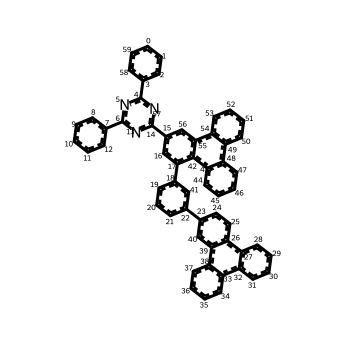 c1ccc(-c2nc(-c3ccccc3)nc(-c3cc(-c4cccc(-c5ccc6c7ccccc7c7ccccc7c6c5)c4)c4c5ccccc5c5ccccc5c4c3)n2)cc1